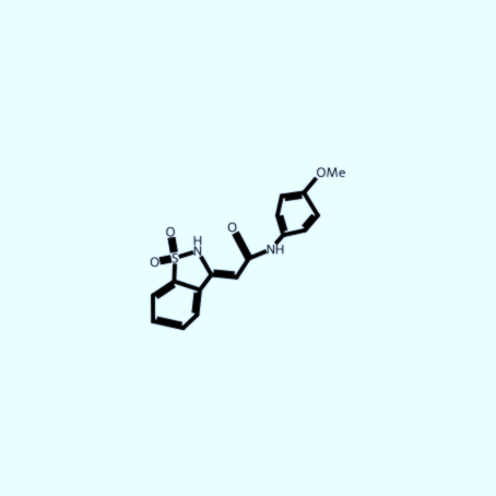 COc1ccc(NC(=O)C=C2NS(=O)(=O)c3ccccc32)cc1